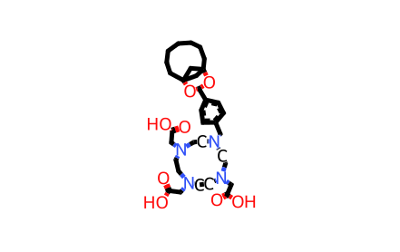 O=C(O)CN1CCN(CC(=O)O)CCN(Cc2ccc(C3OC45CCCCCCCC(C4)(C5)O3)cc2)CCN(CC(=O)O)CC1